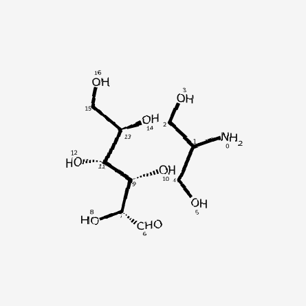 NC(CO)CO.O=C[C@H](O)[C@@H](O)[C@H](O)[C@H](O)CO